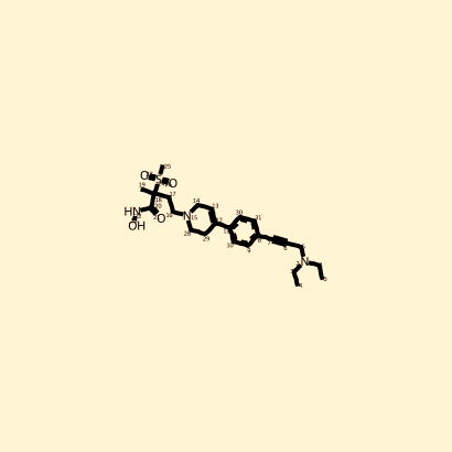 CCN(CC)CC#Cc1ccc(C2=CCN(CCC(C)(C(=O)NO)S(C)(=O)=O)CC2)cc1